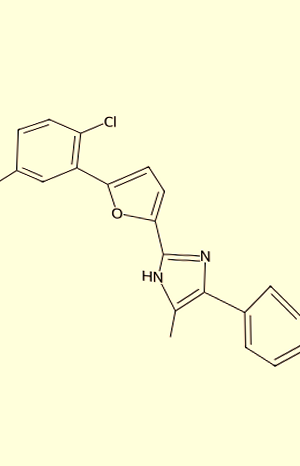 Cc1ccc(Cl)c(-c2ccc(-c3nc(-c4ccccc4)c(C)[nH]3)o2)c1